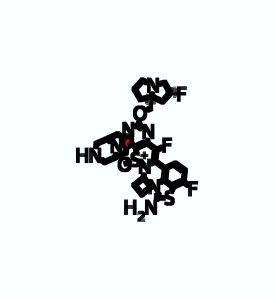 Nc1nc2c(C3=C(F)c4nc(OC[C@@]56CCCN5C[C@H](F)C6)nc(N5C6CNCC5COC6)c4[S+]([O-])N3C3CCC3)ccc(F)c2s1